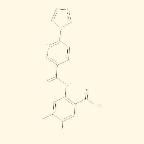 COC(=O)c1cc(Cl)c(Cl)cc1NC(=O)c1ccc(-n2ccnc2)nn1